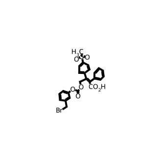 CS(=O)(=O)c1ccc(C(COC(=O)Oc2cccc(CBr)c2)=C(C(=O)O)c2ccccc2)cc1